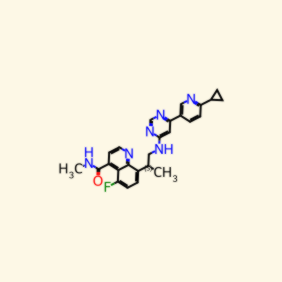 CNC(=O)c1ccnc2c([C@H](C)CNc3cc(-c4ccc(C5CC5)nc4)ncn3)ccc(F)c12